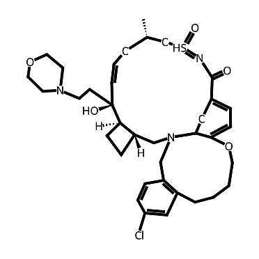 C[C@H]1C/C=C/[C@@](O)(CCN2CCOCC2)[C@@H]2CC[C@H]2CN2Cc3ccc(Cl)cc3CCCCOC3=CC=C(CC32)C(=O)/N=[SH](=O)\C1